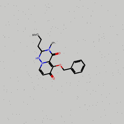 COCCC1Nn2ccc(=O)c(OCc3ccccc3)c2C(=O)N1C(C)C